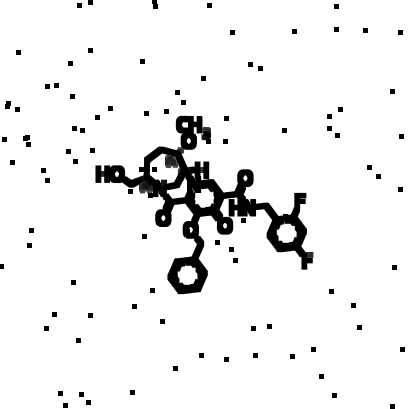 CO[C@H]1CC[C@H](CO)N2C[C@H]1n1cc(C(=O)NCc3ccc(F)cc3F)c(=O)c(OCc3ccccc3)c1C2=O